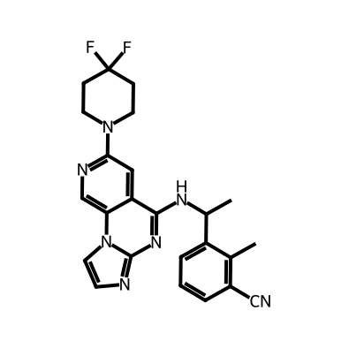 Cc1c(C#N)cccc1C(C)Nc1nc2nccn2c2cnc(N3CCC(F)(F)CC3)cc12